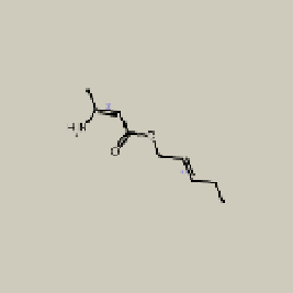 CC/C=C/COC(=O)/C=C(/C)N